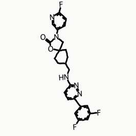 O=C1OC2(CCC(CNc3ccc(-c4cc(F)cc(F)c4)nn3)CC2)CN1c1ccc(F)nc1